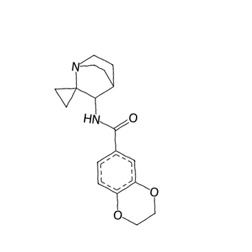 O=C(NC1C2CCN(CC2)C12CC2)c1ccc2c(c1)OCCO2